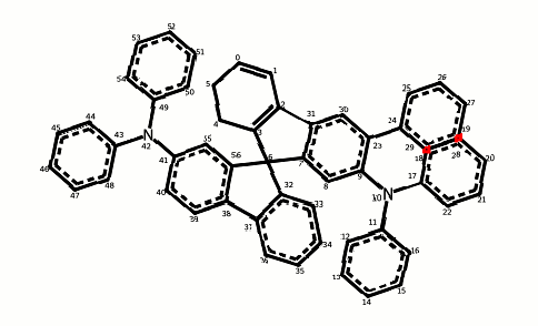 C1=CC2=C(CC1)C1(c3cc(N(c4ccccc4)c4ccccc4)c(-c4ccccc4)cc32)c2ccccc2-c2ccc(N(c3ccccc3)c3ccccc3)cc21